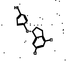 Sc1ccc(O[C@@H]2CCc3c(Cl)cc(Cl)cc32)cc1